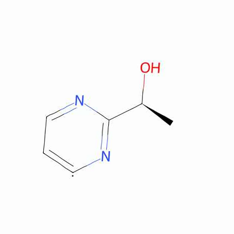 C[C@H](O)c1n[c]ccn1